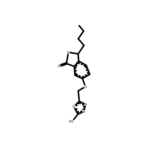 CCCCC1OC(=O)c2cc(OCc3nnc(S)o3)ccc21